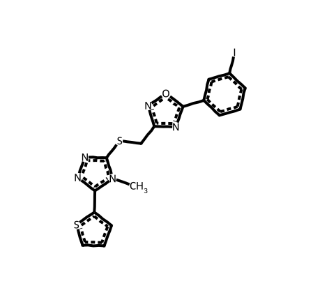 Cn1c(SCc2noc(-c3cccc(I)c3)n2)nnc1-c1cccs1